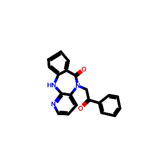 O=C(CN1C(=O)c2ccccc2Nc2ncccc21)c1ccccc1